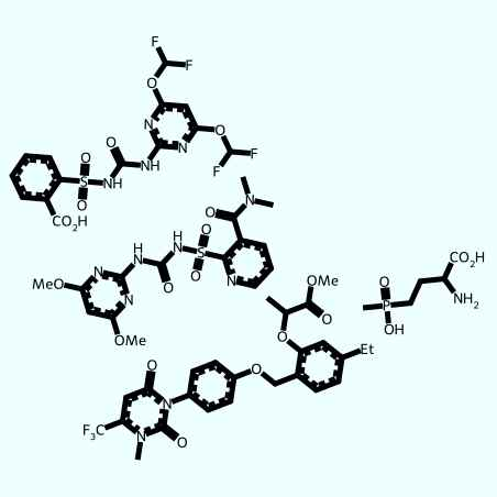 CCc1ccc(COc2ccc(-n3c(=O)cc(C(F)(F)F)n(C)c3=O)cc2)c(OC(C)C(=O)OC)c1.COc1cc(OC)nc(NC(=O)NS(=O)(=O)c2ncccc2C(=O)N(C)C)n1.CP(=O)(O)CCC(N)C(=O)O.O=C(Nc1nc(OC(F)F)cc(OC(F)F)n1)NS(=O)(=O)c1ccccc1C(=O)O